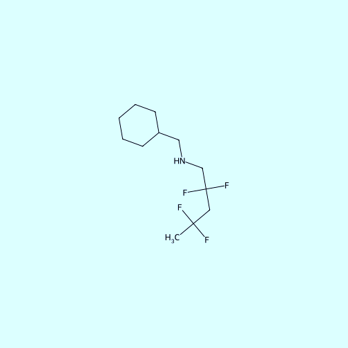 CC(F)(F)CC(F)(F)CNCC1CCCCC1